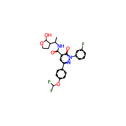 CC(NC(=O)c1cc(-c2ccc(OC(F)F)cc2)nn(-c2cccc(F)c2)c1=O)C1CCOC1O